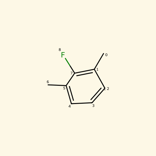 Cc1[c]ccc(C)c1F